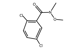 CON(C)C(=O)c1cc(Cl)ccc1Cl